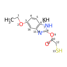 CCOc1ccc2[nH]c(OC(=O)CS)nc2c1.[KH]